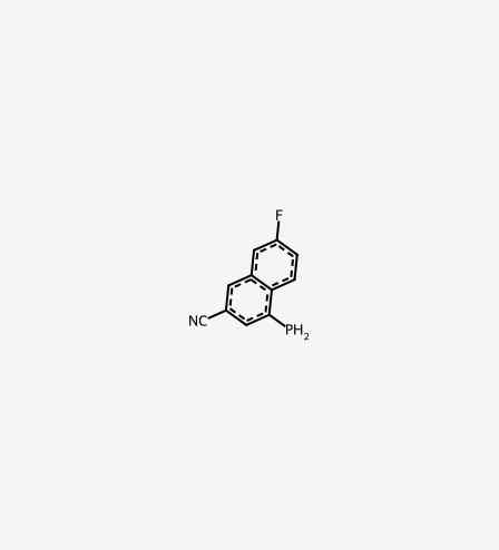 N#Cc1cc(P)c2ccc(F)cc2c1